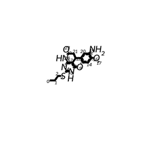 CCCSc1nc2c(c(=O)[nH]1)C(c1ccc(OC)c(N)c1)CC(=O)N2